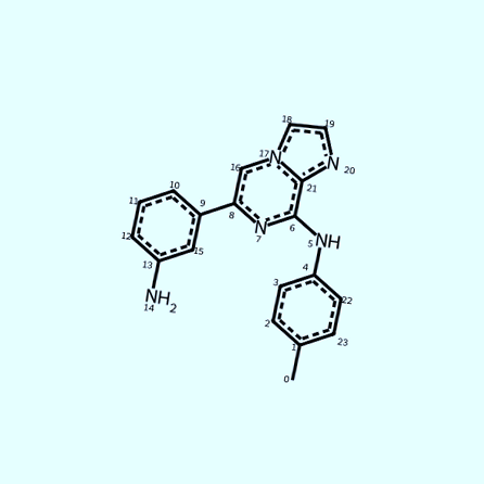 Cc1ccc(Nc2nc(-c3cccc(N)c3)cn3ccnc23)cc1